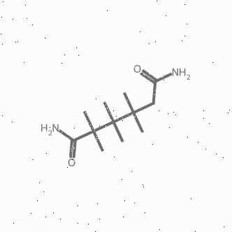 CC(C)(CC(N)=O)C(C)(C)C(C)(C)C(N)=O